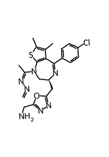 C=N/N=C(/C)N1C[C@H](Cc2nnc(CN)o2)N=C(c2ccc(Cl)cc2)c2c1sc(C)c2C